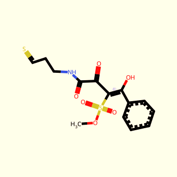 COS(=O)(=O)/C(C(=O)C(=O)NCCC=S)=C(/O)c1ccccc1